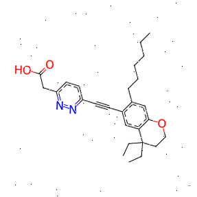 CCCCCCc1cc2c(cc1C#Cc1ccc(CC(=O)O)nn1)C(CC)(CC)CCO2